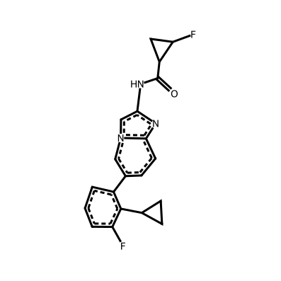 O=C(Nc1cn2cc(-c3cccc(F)c3C3CC3)ccc2n1)C1CC1F